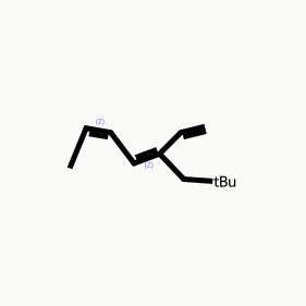 C=C/C(=C\C=C/C)CC(C)(C)C